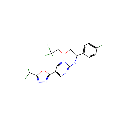 Fc1ccc(C(COCC(F)(F)F)Nc2ncc(-c3nnc(C(F)F)o3)cn2)cc1